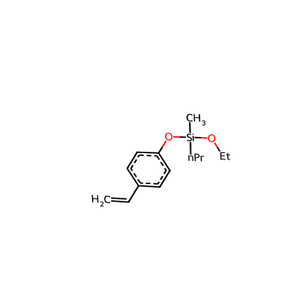 C=Cc1ccc(O[Si](C)(CCC)OCC)cc1